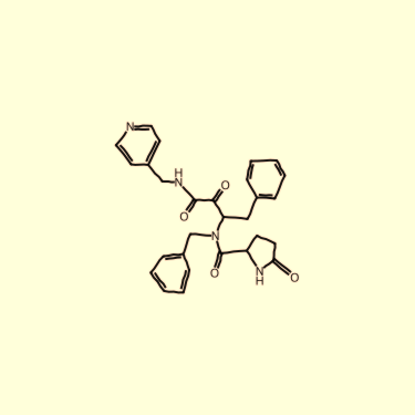 O=C1CCC(C(=O)N(Cc2ccccc2)C(Cc2ccccc2)C(=O)C(=O)NCc2ccncc2)N1